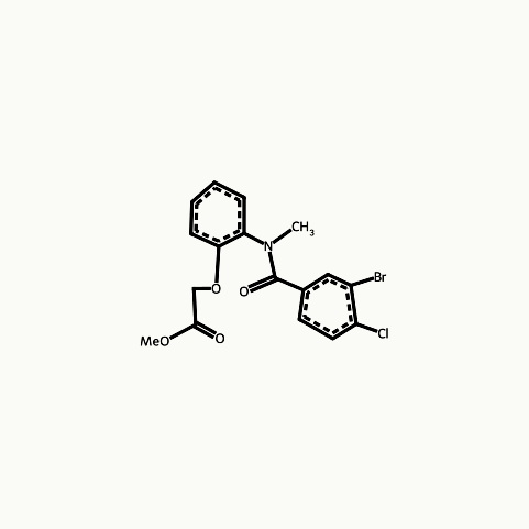 COC(=O)COc1ccccc1N(C)C(=O)c1ccc(Cl)c(Br)c1